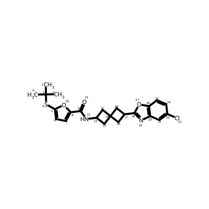 CC(C)(C)Sc1ccc(C(=O)NC2CC3(C2)CC(c2nc4cc(Cl)ccc4o2)C3)o1